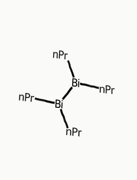 CC[CH2][Bi]([CH2]CC)[Bi]([CH2]CC)[CH2]CC